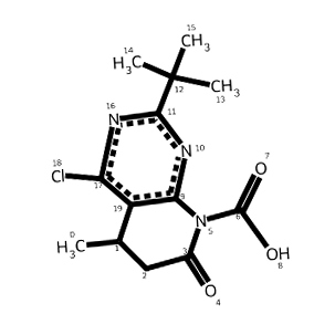 CC1CC(=O)N(C(=O)O)c2nc(C(C)(C)C)nc(Cl)c21